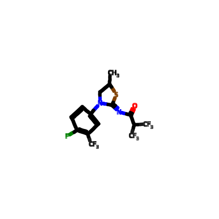 CC1CN(c2ccc(F)c(C(F)(F)F)c2)C(=NC(=O)C(C(F)(F)F)C(F)(F)F)S1